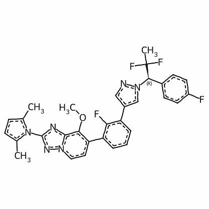 COc1c(-c2cccc(-c3cnn([C@H](c4ccc(F)cc4)C(C)(F)F)c3)c2F)ccn2nc(-n3c(C)ccc3C)nc12